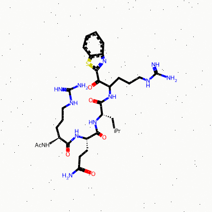 CC(=O)N[C@@H](CCCNC(=N)N)C(=O)N[C@@H](CCC(N)=O)C(=O)N[C@@H](CC(C)C)C(=O)NC(CCCNC(=N)N)C(=O)c1nc2ccccc2s1